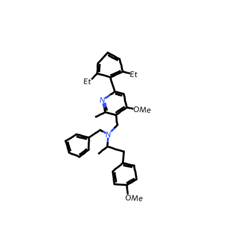 CCc1cccc(CC)c1-c1cc(OC)c(CN(Cc2ccccc2)C(C)Cc2ccc(OC)cc2)c(C)n1